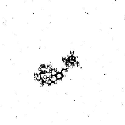 CC(C)(C)OC(=O)N[C@@](C)(CO)C(=O)N1CC(Oc2ccc(CCB3O[C@@H]4C[C@@H]5C[C@@H](C5(C)C)[C@]4(C)O3)c(OC(=O)OC(C)(C)C)c2C(=O)OC(C)(C)C)C1